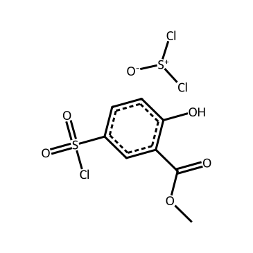 COC(=O)c1cc(S(=O)(=O)Cl)ccc1O.[O-][S+](Cl)Cl